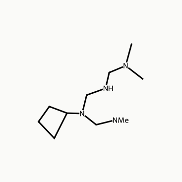 CNCN(CNCN(C)C)C1CCC1